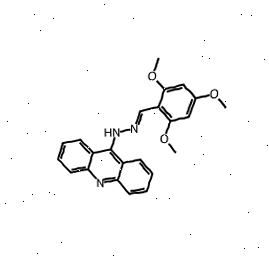 COc1cc(OC)c(/C=N/Nc2c3ccccc3nc3ccccc23)c(OC)c1